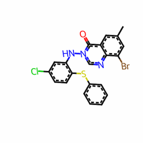 Cc1cc(Br)c2ncn(Nc3cc(Cl)ccc3Sc3ccccc3)c(=O)c2c1